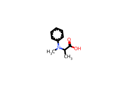 CC(C(=O)O)N(C)c1ccccc1